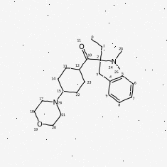 CCC(Cc1ccccc1)(C(=O)C1CCC(N2CCOCC2)CC1)N(C)C